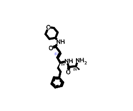 C[C@H](N)C(=O)N[C@H](/C=C/C(=O)NC1CCOCC1)CCc1ccccc1